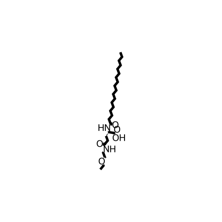 CCCCCCCCCCCCCCCCCC(=O)N[C@@H](CCC(=O)NCCOCC)C(=O)O